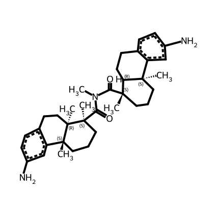 CN(C(=O)[C@@]1(C)CCC[C@]2(C)c3cc(N)ccc3CC[C@@H]12)C(=O)[C@@]1(C)CCC[C@]2(C)c3cc(N)ccc3CC[C@@]12C